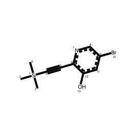 C[Si](C)(C)C#Cc1ncc(Br)cc1O